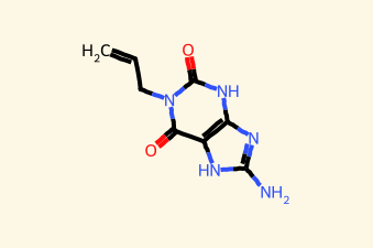 C=CCn1c(=O)[nH]c2nc(N)[nH]c2c1=O